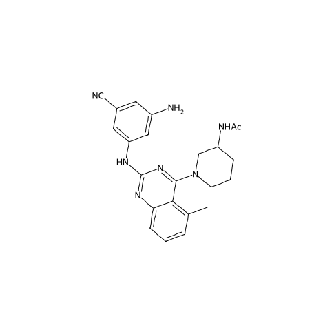 CC(=O)NC1CCCN(c2nc(Nc3cc(N)cc(C#N)c3)nc3cccc(C)c23)C1